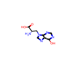 N[C@@H](Cn1cnc2c(O)ncnc21)C(=O)O